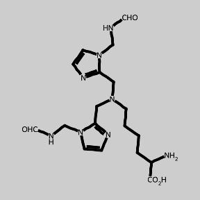 NC(CCCCN(Cc1nccn1CNC=O)Cc1nccn1CNC=O)C(=O)O